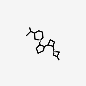 CC1CN(C2CCC2C2CCCC2N2CCCC(C(C)C)C2)C1